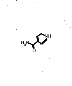 NC(=O)C1=CCNC=C1